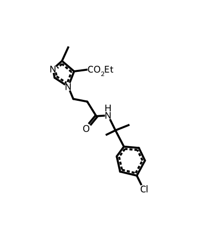 CCOC(=O)c1c(C)ncn1CCC(=O)NC(C)(C)c1ccc(Cl)cc1